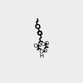 C=C(CO)C(=O)OCC(CCc1ccc(C2CCC(/C=C/C)CC2)cc1)COC(=O)C(=C)COC